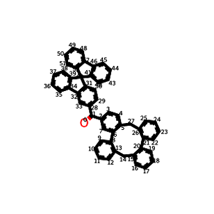 O=C(c1ccc2c(c1)-c1ccccc1Cc1ccccc1-c1ccccc1C2)c1ccc2c(c1)-c1ccccc1C21c2ccccc2-c2ccccc21